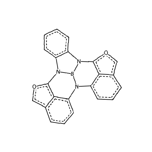 c1ccc2c(c1)N1B3N(c4cccc5coc1c45)c1cccc4coc(c14)N32